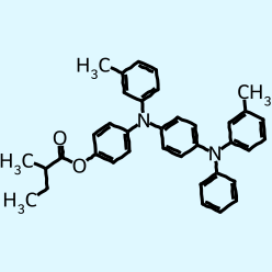 CCC(C)C(=O)Oc1ccc(N(c2ccc(N(c3ccccc3)c3cccc(C)c3)cc2)c2cccc(C)c2)cc1